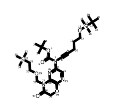 CC(C)(C)OC(=O)N(C#CCCCO[Si](C)(C)C(C)(C)C)c1cnc2c(n1)N(COCC[Si](C)(C)C)C(=O)CO2